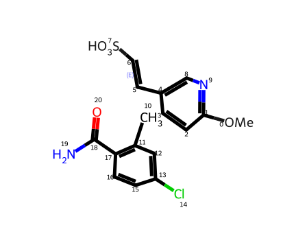 COc1ccc(/C=C/S(=O)(=O)O)cn1.Cc1cc(Cl)ccc1C(N)=O